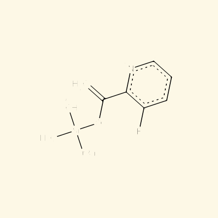 C=C(O[Si](C)(C)C(C)(C)C)c1ncccc1F